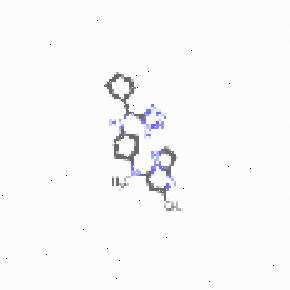 Cc1cc(N(C)c2ccc(NC(c3ccccc3)c3nnn[nH]3)cc2)n2nccc2n1